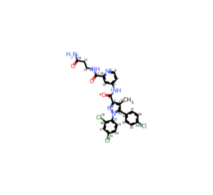 Cc1c(C(=O)Nc2ccnc(C(=O)NCCC(N)=O)c2)nn(-c2ccc(Cl)cc2Cl)c1-c1ccc(Cl)cc1